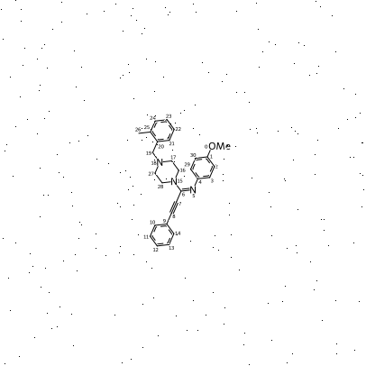 COc1ccc(N=C(C#Cc2ccccc2)N2CCN(Cc3ccccc3C)CC2)cc1